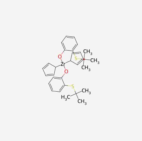 CC(C)(C)Sc1ccccc1[O][Zr]([O]c1ccccc1SC(C)(C)C)([CH]1C=CC=C1)[CH]1C=CC=C1